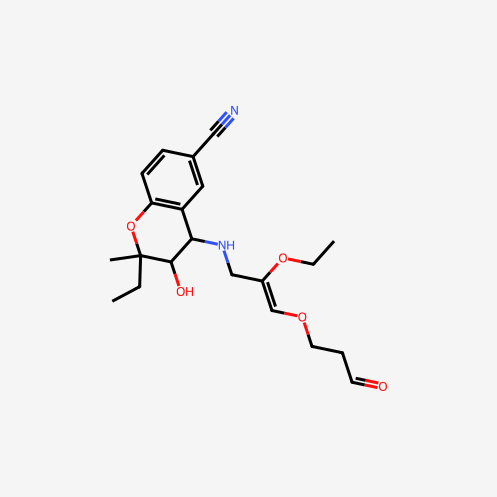 CCO/C(=C\OCCC=O)CNC1c2cc(C#N)ccc2OC(C)(CC)C1O